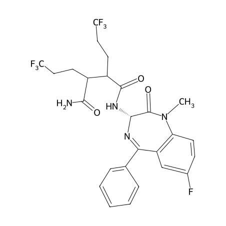 CN1C(=O)[C@@H](NC(=O)C(CCC(F)(F)F)C(CCC(F)(F)F)C(N)=O)N=C(c2ccccc2)c2cc(F)ccc21